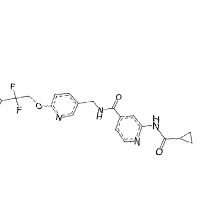 O=C(NCc1ccc(OCC(F)(F)C(F)F)nc1)c1ccnc(NC(=O)C2CC2)c1